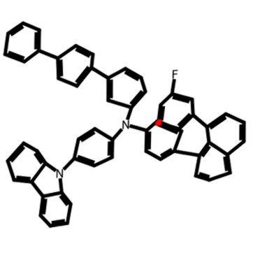 Fc1cccc(-c2cccc3cccc(-c4ccc(N(c5ccc(-n6c7ccccc7c7ccccc76)cc5)c5cccc(-c6ccc(-c7ccccc7)cc6)c5)cc4)c23)c1